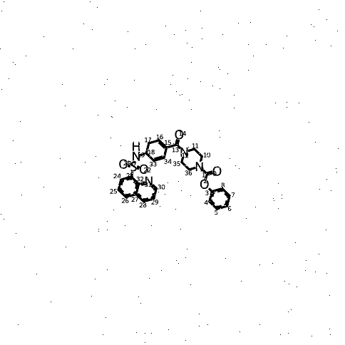 O=C(Oc1ccccc1)N1CCN(C(=O)C2=CCC(NS(=O)(=O)c3cccc4cccnc34)C=C2)CC1